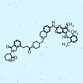 Cc1cccc(C)c1Nc1nn(C)c2nc(Nc3ccc4c(c3)CN(CC3CCN(C(=O)CCc5cccc6c5CN(C5CCCNC5=O)C6=O)CC3)CC4)ncc12